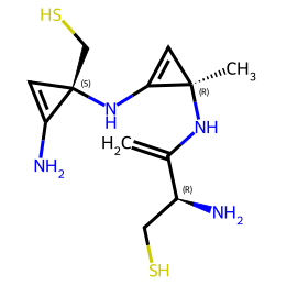 C=C(N[C@]1(C)C=C1N[C@@]1(CS)C=C1N)[C@@H](N)CS